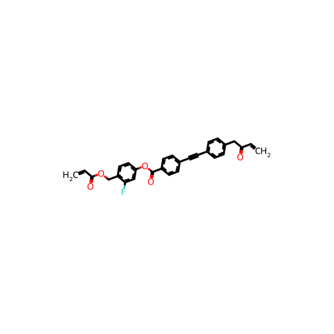 C=CC(=O)Cc1ccc(C#Cc2ccc(C(=O)Oc3ccc(COC(=O)C=C)c(F)c3)cc2)cc1